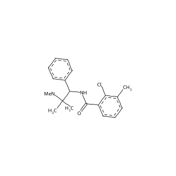 CNC(C)(C)C(NC(=O)c1cccc(C)c1Cl)c1ccccc1